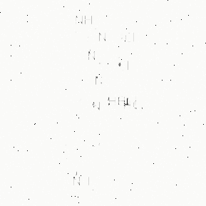 Cl.Cl.Cl.NCc1nc(Cl)c(Cl)c(N2CCN(CC[C@H]3CC[C@H](N)CC3)CC2)n1